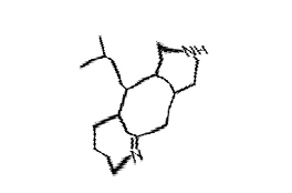 CC(C)C1C2CCCN=C2CC2CNCC21